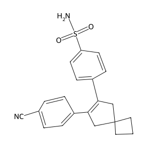 N#Cc1ccc(C2=C(c3ccc(S(N)(=O)=O)cc3)CC3(CCC3)C2)cc1